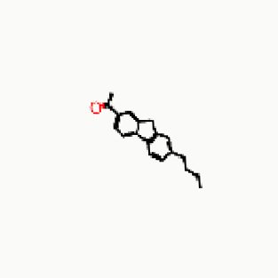 CCCCc1ccc2c(c1)Cc1cc(C(C)=O)ccc1-2